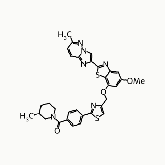 COc1cc(OCc2csc(-c3ccc(C(=O)N4CCC[C@H](C)C4)cc3)n2)c2sc(-c3cn4nc(C)ccc4n3)nc2c1